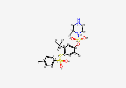 Cc1ccc(S(=O)(=O)Sc2cc(C)c(OS(=O)(=O)N3CCNCC3C)cc2C(C)(C)C)cc1